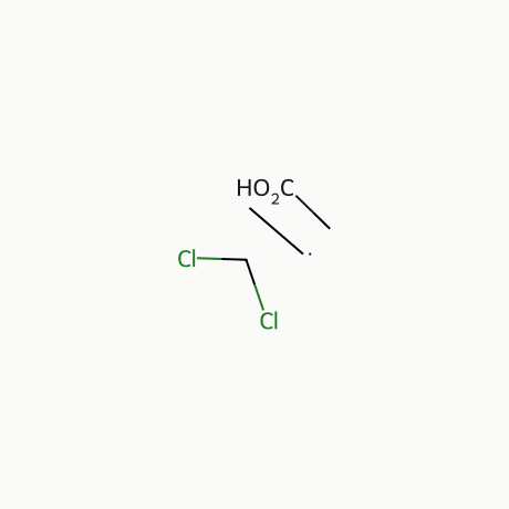 CC(=O)O.ClCCl.[CH2]C